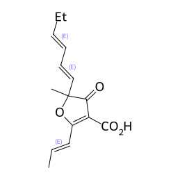 C/C=C/C1=C(C(=O)O)C(=O)C(C)(/C=C/C=C/CC)O1